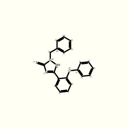 S=c1nc(-c2ccccc2Oc2ccccc2)[nH]n1Cc1ccccc1